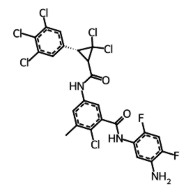 Cc1cc(NC(=O)C2[C@H](c3cc(Cl)c(Cl)c(Cl)c3)C2(Cl)Cl)cc(C(=O)Nc2cc(N)c(F)cc2F)c1Cl